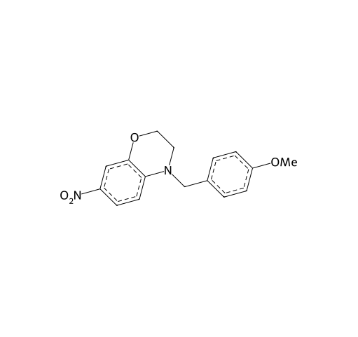 COc1ccc(CN2CCOc3cc([N+](=O)[O-])ccc32)cc1